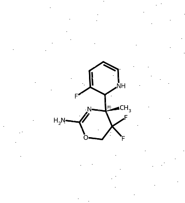 C[C@]1(C2N[C]=CC=C2F)N=C(N)OCC1(F)F